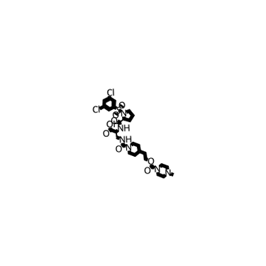 CN1CCN(C(=O)OCCC2CCN(C(=O)NC[C@H](NC(=O)[C@@H]3CCCN3S(=O)(=O)c3cc(Cl)cc(Cl)c3)C(=O)O)CC2)CC1